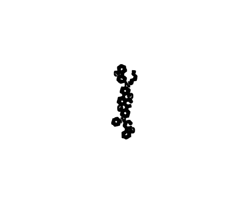 C=C/C=C\C=C\N(c1ccc2c(c1)OC(=C)c1c-2ccc2c1C(=C)c1ccc(N(/C(C=C)=C/c3coc4ccccc34)c3ccccc3)cc1O2)c1ccc2oc3ccccc3c2c1